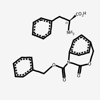 N[C@@H](Cc1ccccc1)C(=O)O.O=C(OCc1ccccc1)N1C(=O)OCc2ccc1cc2